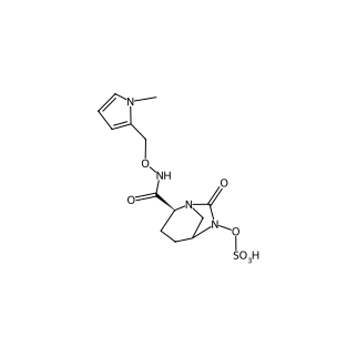 Cn1cccc1CONC(=O)[C@@H]1CCC2CN1C(=O)N2OS(=O)(=O)O